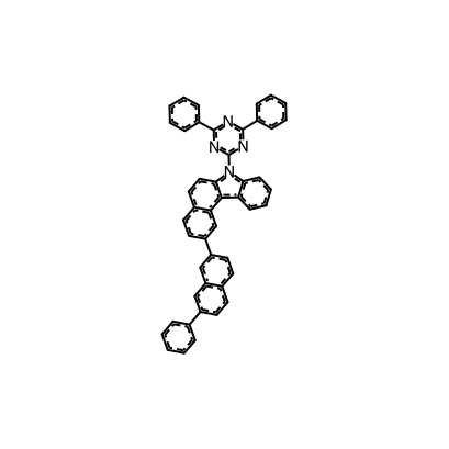 c1ccc(-c2ccc3ccc(-c4ccc5ccc6c(c5c4)c4ccccc4n6-c4nc(-c5ccccc5)nc(-c5ccccc5)n4)cc3c2)cc1